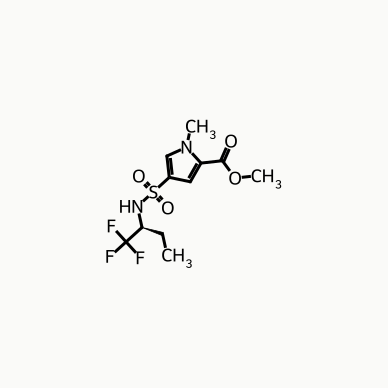 CC[C@H](NS(=O)(=O)c1cc(C(=O)OC)n(C)c1)C(F)(F)F